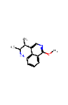 COc1ncc(C(C)C(C)N)c2ccccc12